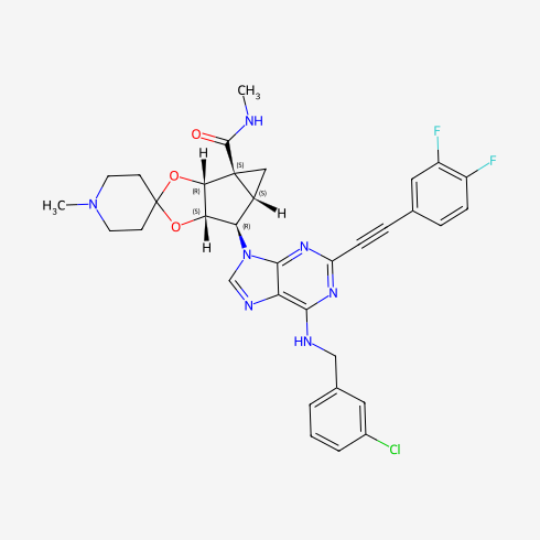 CNC(=O)[C@@]12C[C@@H]1[C@@H](n1cnc3c(NCc4cccc(Cl)c4)nc(C#Cc4ccc(F)c(F)c4)nc31)[C@@H]1OC3(CCN(C)CC3)O[C@@H]12